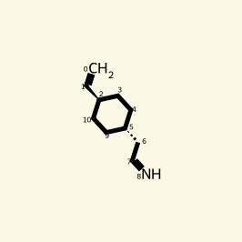 C=C[C@H]1CC[C@H](CC=N)CC1